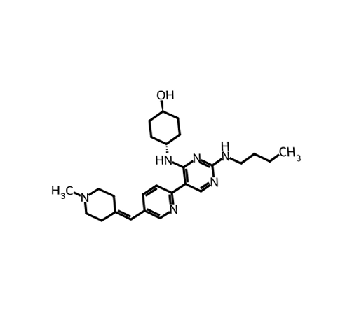 CCCCNc1ncc(-c2ccc(C=C3CCN(C)CC3)cn2)c(N[C@H]2CC[C@H](O)CC2)n1